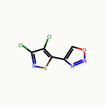 Clc1nsc(-c2conn2)c1Cl